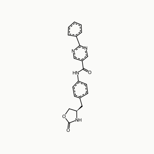 O=C1N[C@H](Cc2ccc(NC(=O)c3cnc(-c4ccccc4)nc3)cc2)CO1